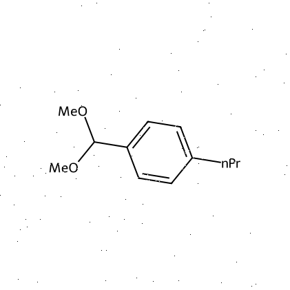 CCCc1ccc(C(OC)OC)cc1